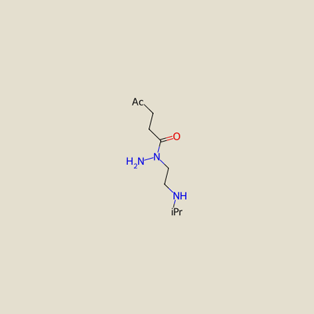 CC(=O)CCC(=O)N(N)CCNC(C)C